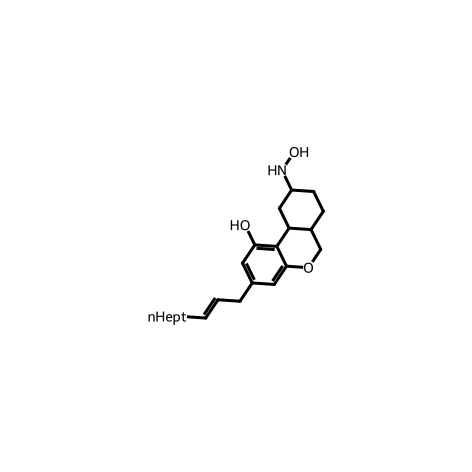 CCCCCCC/C=C/Cc1cc(O)c2c(c1)OCC1CCC(NO)CC21